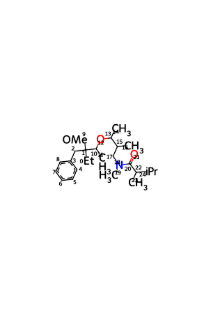 CCC(Cc1ccccc1)(OC)C(C)OC(C)C(C)CN(C)C(=O)C(C)C(C)C